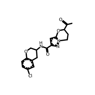 CC(=O)C1CCn2nc(C(=O)NC3COc4ccc(Cl)cc4C3)cc2O1